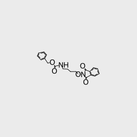 O=C(NCCCCON1C(=O)c2ccccc2C1=O)OCc1ccccc1